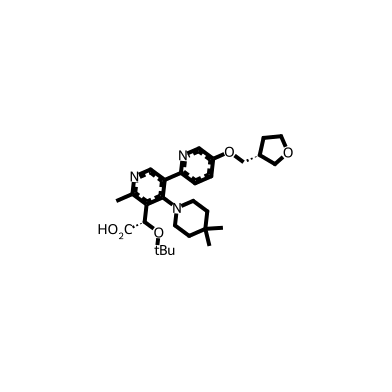 Cc1ncc(-c2ccc(OC[C@@H]3CCOC3)cn2)c(N2CCC(C)(C)CC2)c1[C@H](OC(C)(C)C)C(=O)O